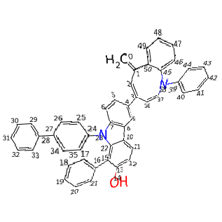 C=C1/C=C(c2ccc3c(c2)c2ccc(O)c(-c4ccccc4)c2n3-c2ccc(-c3ccccc3)cc2)\C=C/N(c2ccccc2)c2ccccc21